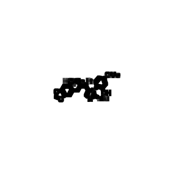 CCCCc1ncc(C(CC)=C(Cc2cc3c(cc2OC)OCO3)C(=O)O)n1-c1ccc(OC)cc1O